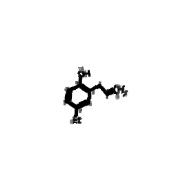 C=CCc1cc(CC)c[c]c1O